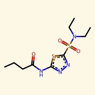 CCCC(=O)Nc1nnc(S(=O)(=O)N(CC)CC)s1